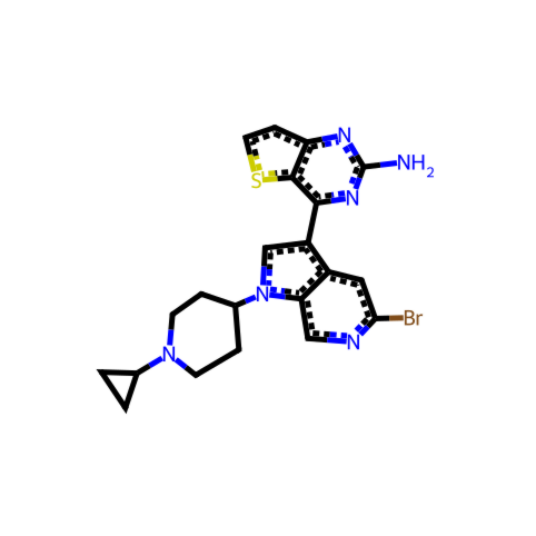 Nc1nc(-c2cn(C3CCN(C4CC4)CC3)c3cnc(Br)cc23)c2sccc2n1